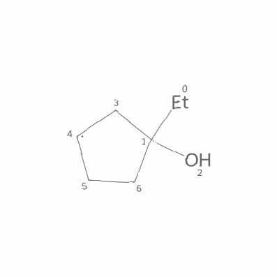 CCC1(O)C[CH]CC1